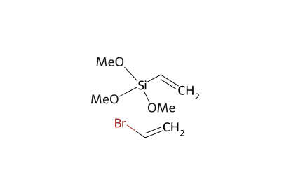 C=CBr.C=C[Si](OC)(OC)OC